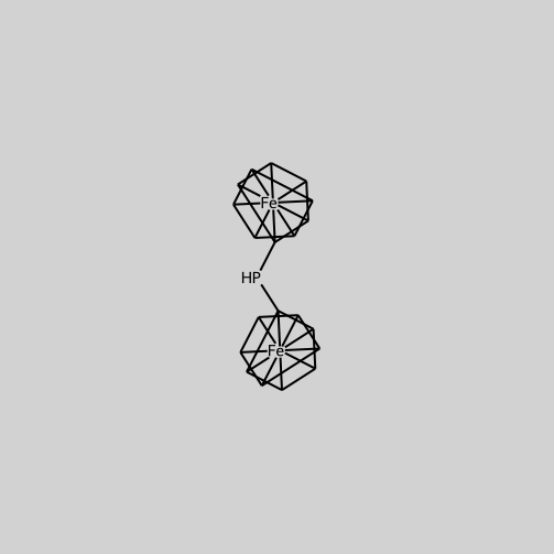 P([C]12[CH]3[CH]4[CH]5[CH]1[Fe]45321678[CH]2[CH]1[CH]6[CH]7[CH]28)[C]12[CH]3[CH]4[CH]5[CH]1[Fe]45321678[CH]2[CH]1[CH]6[CH]7[CH]28